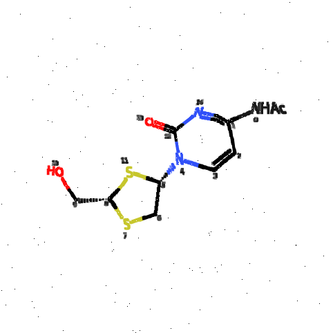 CC(=O)Nc1ccn([C@@H]2CS[C@H](CO)S2)c(=O)n1